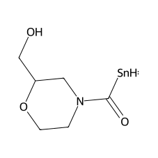 O=[C]([SnH])N1CCOC(CO)C1